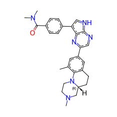 Cc1cc(-c2cnc3[nH]cc(-c4ccc(C(=O)N(C)C)cc4)c3n2)cc2c1N1CCN(C)C[C@H]1CC2